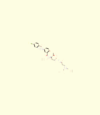 CCN(CC)CCC(=O)NC[C@@H]1CC[C@H]2[C@H](COc3ccc(NC(=O)c4ccc(C(F)(F)F)cc4)cc3C(=O)N2C)O1